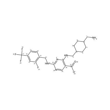 NCC1CCC(CNc2nc(NCc3ccc(C(F)(F)F)cc3F)ncc2[N+](=O)[O-])CC1